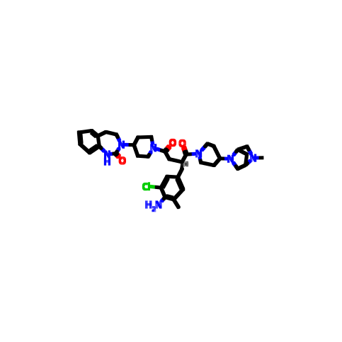 Cc1cc(C[C@@H](CC(=O)N2CCC(N3CCc4ccccc4NC3=O)CC2)C(=O)N2CCC(N3CC4CC3CN4C)CC2)cc(Cl)c1N